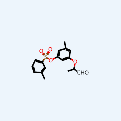 Cc1cc(OC(C)C=O)cc(OS(=O)(=O)c2cccc(C)c2)c1